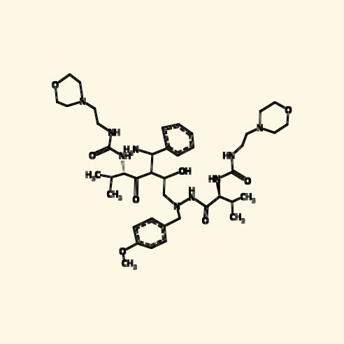 COc1ccc(CN(CC(O)C(C(=O)[C@@H](NC(=O)NCCN2CCOCC2)C(C)C)C(N)c2ccccc2)NC(=O)[C@@H](NC(=O)NCCN2CCOCC2)C(C)C)cc1